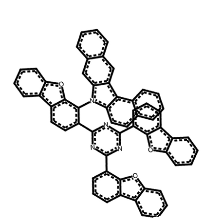 c1ccc2cc3c(cc2c1)c1c2ccccc2ccc1n3-c1c(-c2nc(-c3cccc4c3oc3ccccc34)nc(-c3cccc4c3oc3ccccc34)n2)ccc2c1oc1ccccc12